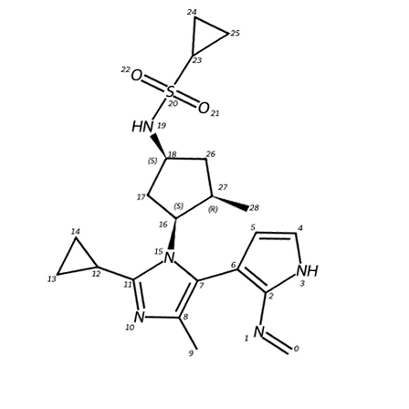 C=Nc1[nH]ccc1-c1c(C)nc(C2CC2)n1[C@H]1C[C@@H](NS(=O)(=O)C2CC2)C[C@H]1C